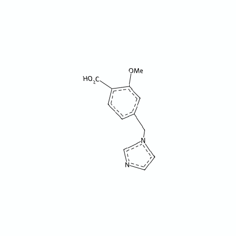 COc1cc(Cn2ccnc2)ccc1C(=O)O